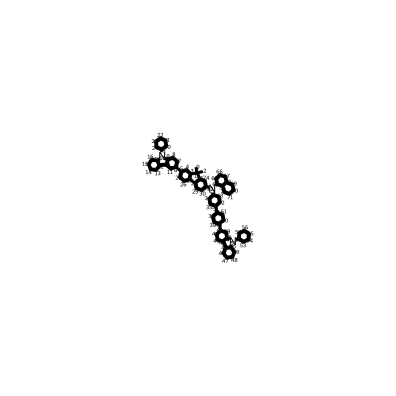 CC1(C)c2cc(-c3ccc4c(c3)c3ccccc3n4-c3ccccc3)ccc2-c2ccc(N(c3ccc(-c4ccc(-c5ccc6c7ccccc7n(-c7ccccc7)c6c5)cc4)cc3)c3cccc4ccccc34)cc21